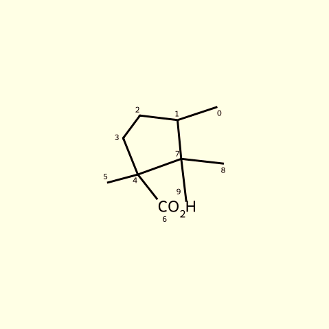 CC1CCC(C)(C(=O)O)C1(C)C